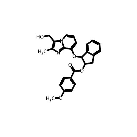 COc1ccc(C(=O)OC2Cc3ccccc3C2Oc2cccn3c(CO)c(C)nc23)cc1